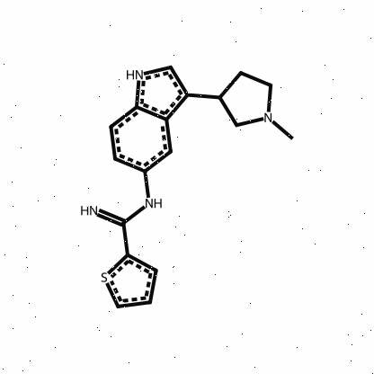 CN1CCC(c2c[nH]c3ccc(NC(=N)c4cccs4)cc23)C1